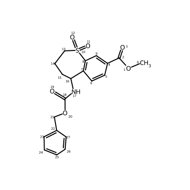 COC(=O)c1ccc2c(c1)S(=O)(=O)CCCC2NC(=O)OCc1ccccc1